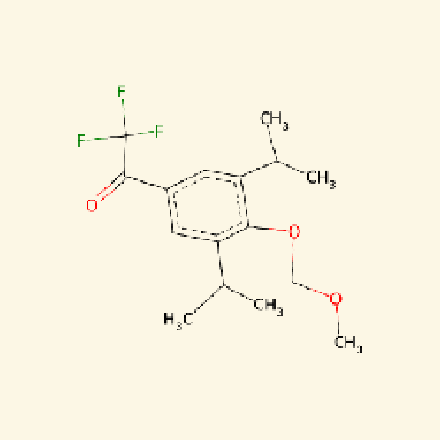 COCOc1c(C(C)C)cc(C(=O)C(F)(F)F)cc1C(C)C